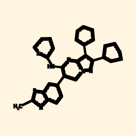 Cc1nc2ccc(-c3cn4nc(-c5ccccc5)c(-c5ccccc5)c4nc3Nc3ccccn3)cc2s1